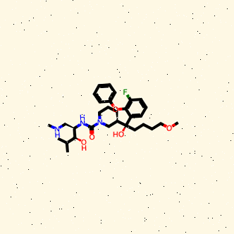 CNC[C@@H](NC(=O)N1CCC[C@@H]([C@@](O)(CCCCOC)c2cccc(F)c2Oc2ccccc2)C1)[C@@H](O)C(C)C